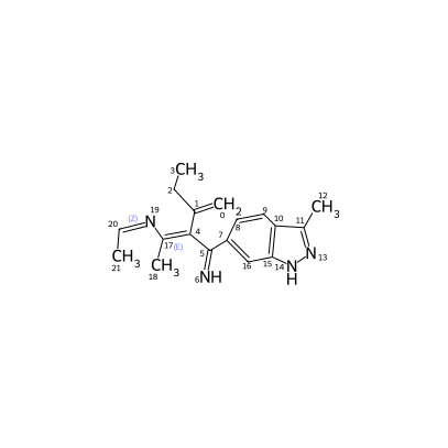 C=C(CC)/C(C(=N)c1ccc2c(C)n[nH]c2c1)=C(C)\N=C/C